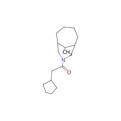 CC1C2CCCCC1CN(C(=O)CC1CCCC1)C2